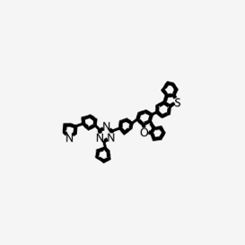 c1ccc(-c2nc(-c3ccc(-c4ccc(-c5ccc6sc7ccccc7c6c5)c5c4oc4ccccc45)cc3)nc(-c3cccc(-c4cccnc4)c3)n2)cc1